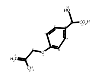 C=C(C)COc1ccc(C(O)C(=O)O)cc1